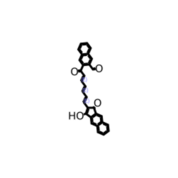 O=Cc1cc2ccccc2cc1C(=O)/C=C/C=C/C=C/C1=C(O)c2cc3ccccc3cc2C1=O